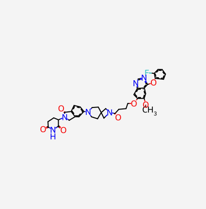 COc1cc2c(Oc3ccccc3F)ncnc2cc1OCCCC(=O)N1CC2(CCN(c3ccc4c(c3)CN(C3CCC(=O)NC3=O)C4=O)CC2)C1